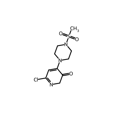 CS(=O)(=O)N1CCN(C2=CC(Cl)=NCC2=O)CC1